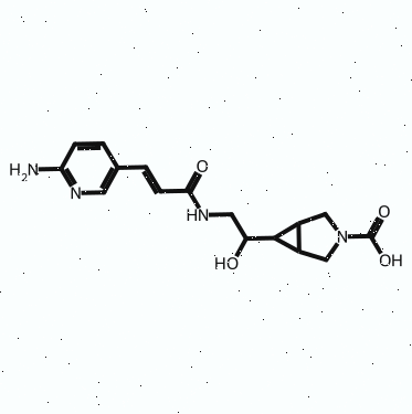 Nc1ccc(/C=C/C(=O)NCC(O)C2C3CN(C(=O)O)CC32)cn1